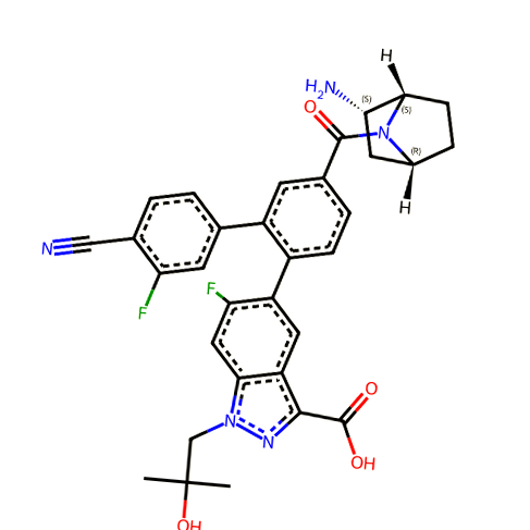 CC(C)(O)Cn1nc(C(=O)O)c2cc(-c3ccc(C(=O)N4[C@@H]5CC[C@H]4[C@@H](N)C5)cc3-c3ccc(C#N)c(F)c3)c(F)cc21